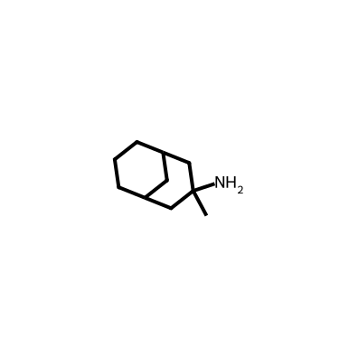 CC1(N)CC2CCCC(C2)C1